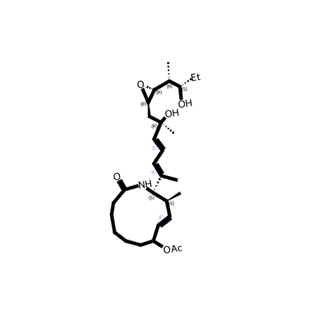 CC[C@H](O)[C@@H](C)[C@H]1O[C@@H]1C[C@@](C)(O)/C=C/C=C(\C)[C@H]1NC(=O)CCCCCC(OC(C)=O)/C=C/[C@@H]1C